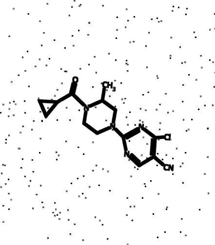 CC1CN(c2ncc(C#N)c(Cl)n2)CCN1C(=O)C1CC1